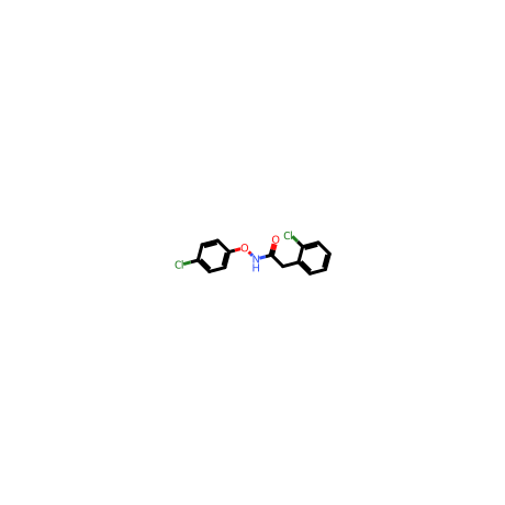 O=C(Cc1ccccc1Cl)NOc1ccc(Cl)cc1